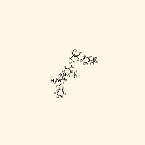 CCN(CCCCN1CCN(S(=O)(=O)C(N)CCc2ccccc2)CC1C=O)C(C)Cc1ccc(S(C)(=O)=O)cc1